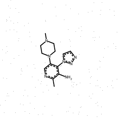 Cc1ncc(N2CCN(C)CC2)c(-n2ccnn2)c1N